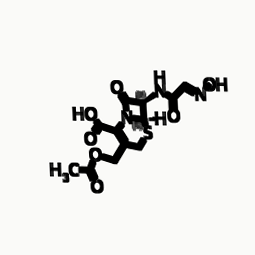 CC(=O)OCC1=C(C(=O)O)N2C(=O)[C@@H](NC(=O)C=NO)[C@H]2SC1